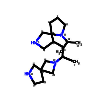 CC(CC1CNCC12CCCN2C(C)C)N1CC2(CCNC2)C1